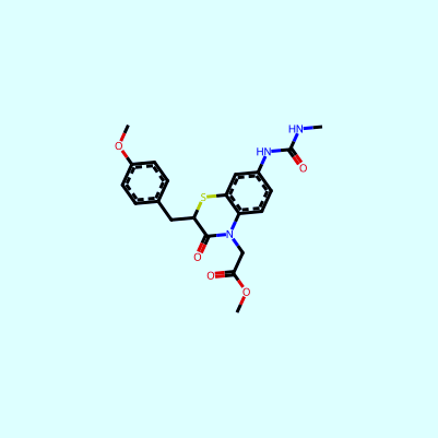 CNC(=O)Nc1ccc2c(c1)SC(Cc1ccc(OC)cc1)C(=O)N2CC(=O)OC